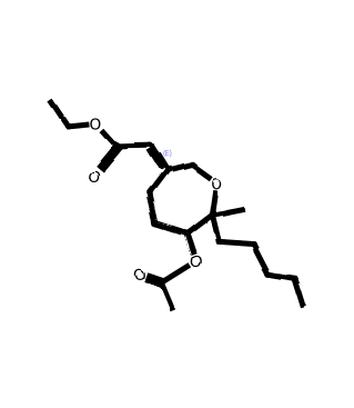 CCCCCC1(C)OC/C(=C/C(=O)OCC)CCC1OC(C)=O